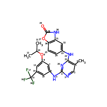 Cc1cnc(Nc2cc(OC(C)C)cc(C(F)(F)F)c2)nc1Nc1ccc2oc(=O)[nH]c2c1